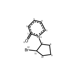 O=c1ccccn1C1CCCC1Br